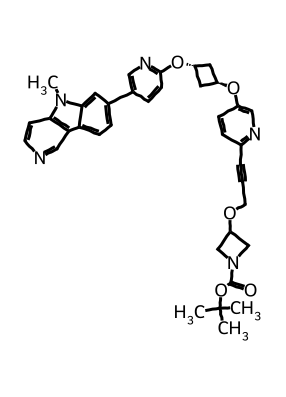 Cn1c2ccncc2c2ccc(-c3ccc(O[C@H]4C[C@H](Oc5ccc(C#CCOC6CN(C(=O)OC(C)(C)C)C6)nc5)C4)nc3)cc21